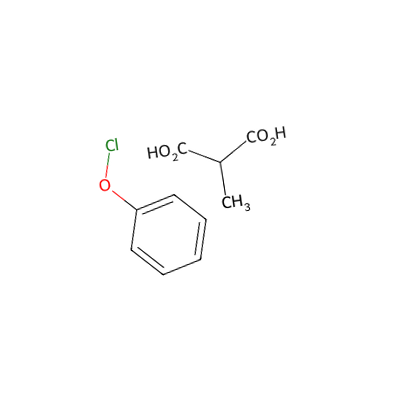 CC(C(=O)O)C(=O)O.ClOc1ccccc1